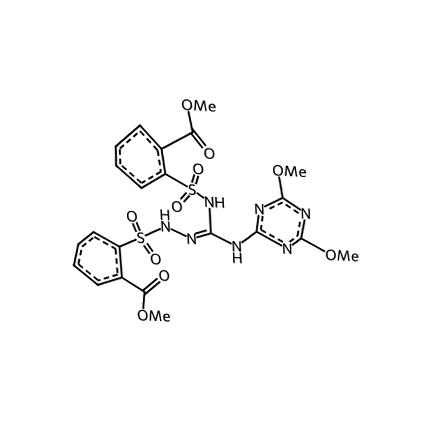 COC(=O)c1ccccc1S(=O)(=O)NN=C(Nc1nc(OC)nc(OC)n1)NS(=O)(=O)c1ccccc1C(=O)OC